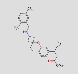 COC(=O)C(C)C(c1ccc2c(c1)OC1(CC2)CC(NCc2cc(C(F)(F)F)ccc2C(F)(F)F)C1)C1CC1